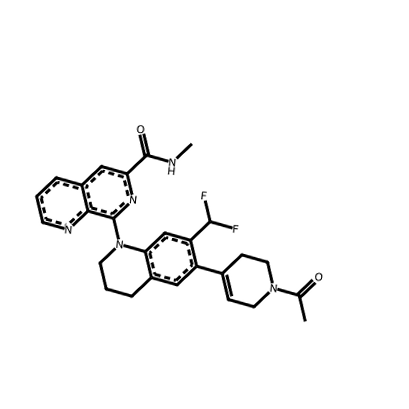 CNC(=O)c1cc2cccnc2c(N2CCCc3cc(C4=CCN(C(C)=O)CC4)c(C(F)F)cc32)n1